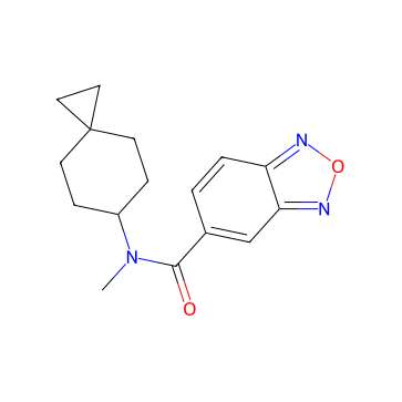 CN(C(=O)c1ccc2nonc2c1)C1CCC2(CC1)CC2